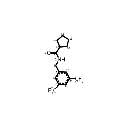 O=C(NCc1cc(C(F)(F)F)cc(C(F)(F)F)c1)C1CCCC1